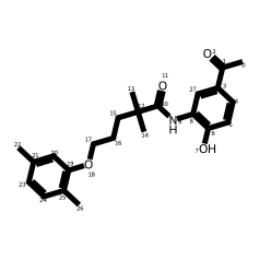 CC(=O)c1ccc(O)c(NC(=O)C(C)(C)CCCOc2cc(C)ccc2C)c1